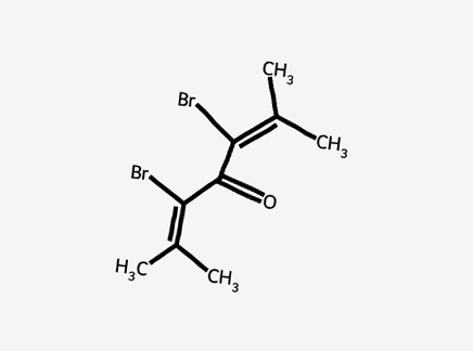 CC(C)=C(Br)C(=O)C(Br)=C(C)C